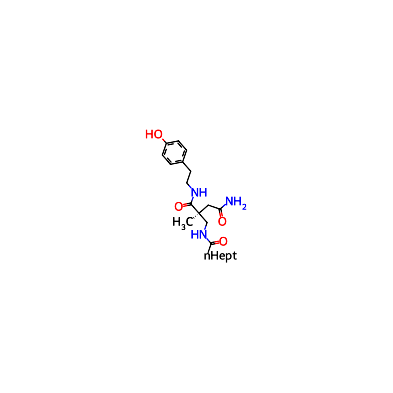 CCCCCCCC(=O)NC[C@](C)(CC(N)=O)C(=O)NCCc1ccc(O)cc1